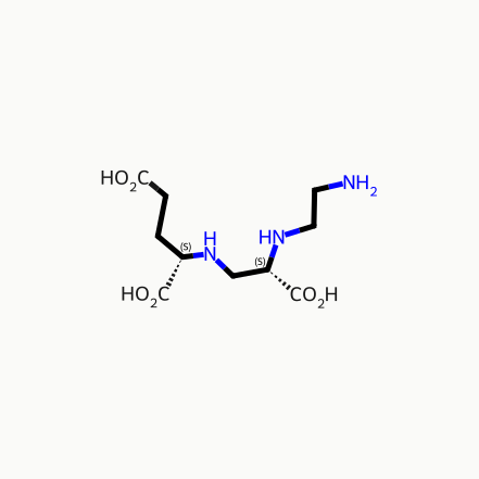 NCCN[C@@H](CN[C@@H](CCC(=O)O)C(=O)O)C(=O)O